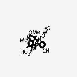 COC(=O)C1CC1(c1c(OC)cc(C)c2c1ccn2C(=O)O)c1nc2cc(C#N)ccc2n1COCC[Si](C)(C)C